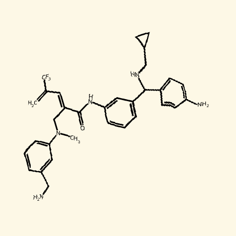 C=C(/C=C(\CN(C)c1cccc(CN)c1)C(=O)Nc1cccc(C(NCC2CC2)c2ccc(N)cc2)c1)C(F)(F)F